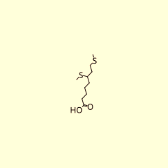 CSCCC(CCCCC(=O)O)SC